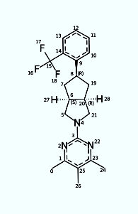 Cc1nc(N2C[C@H]3C[C@@H](c4ccccc4C(F)(F)F)C[C@H]3C2)nc(C)c1C